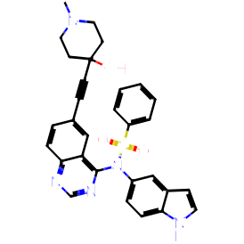 CN1CCC(O)(C#Cc2ccc3ncnc(N(c4ccc5[nH]ccc5c4)S(=O)(=O)c4ccccc4)c3c2)CC1